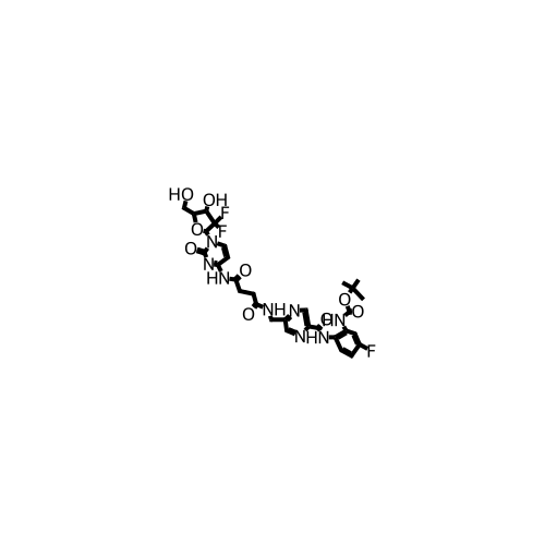 CC(C)(C)OC(=O)Nc1cc(F)ccc1NC(=O)c1cnc(CNC(=O)CCC(=O)Nc2ccn(C3OC(CO)C(O)C3(F)F)c(=O)n2)cn1